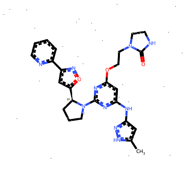 Cc1cc(Nc2cc(OCCN3CCNC3=O)nc(N3CCC[C@H]3c3cc(-c4ccccn4)no3)n2)n[nH]1